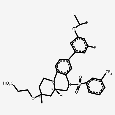 C[C@@]1(OCCC(=O)O)CCN2c3ccc(-c4cc(F)cc(OC(F)F)c4)cc3N(S(=O)(=O)c3cccc(C(F)(F)F)c3)C[C@@H]2C1